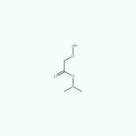 CCCOCC(=O)ON(C)C